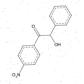 O=C(c1ccc([N+](=O)[O-])cc1)C(O)c1ccccc1